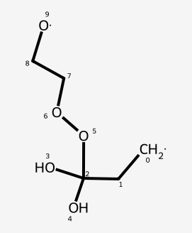 [CH2]CC(O)(O)OOCC[O]